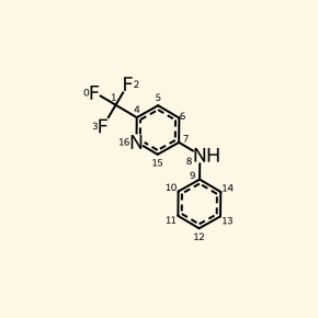 FC(F)(F)c1ccc(Nc2ccccc2)cn1